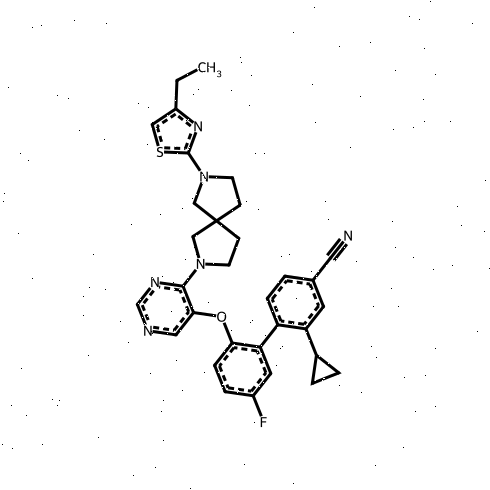 CCc1csc(N2CCC3(CCN(c4ncncc4Oc4ccc(F)cc4-c4ccc(C#N)cc4C4CC4)C3)C2)n1